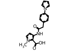 Cn1ccc(NC(=O)Cc2ccc(-n3cccc3)cc2)c1C(=O)O